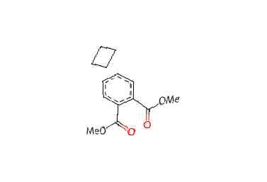 C1CCC1.COC(=O)c1ccccc1C(=O)OC